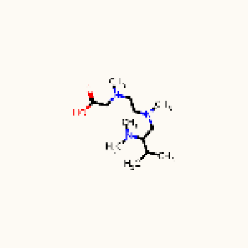 CC(C)C(CN(C)CCN(C)CC(=O)O)N(C)C